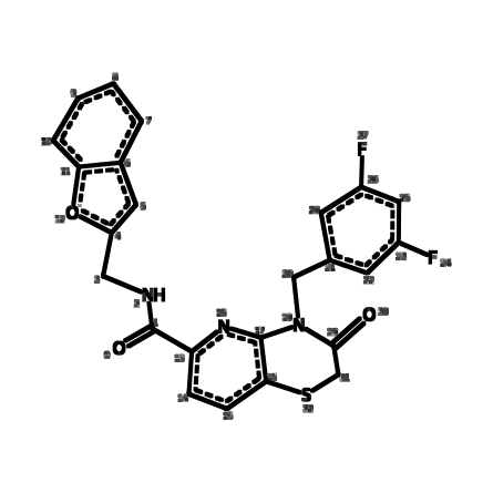 O=C(NCc1cc2ccccc2o1)c1ccc2c(n1)N(Cc1cc(F)cc(F)c1)C(=O)CS2